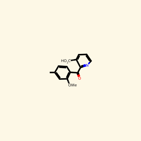 COc1cc(C)ccc1C(=O)c1ncccc1C(=O)O